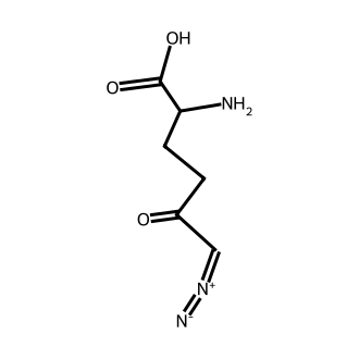 [N-]=[N+]=CC(=O)CCC(N)C(=O)O